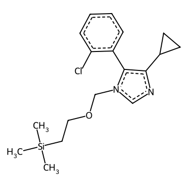 C[Si](C)(C)CCOCn1cnc(C2CC2)c1-c1ccccc1Cl